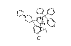 Cc1nn(C(c2ccccc2)(c2ccccc2)c2ccccc2)cc1C1(c2ccc(Cl)cc2)CCN(c2ccccc2)CC1